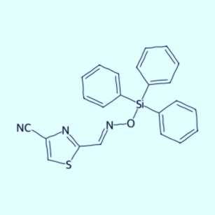 N#Cc1csc(C=NO[Si](c2ccccc2)(c2ccccc2)c2ccccc2)n1